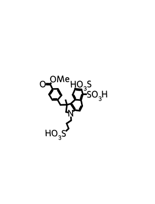 COC(=O)c1ccc(CC2(C)CN(CCCS(=O)(=O)O)c3ccc4c(S(=O)(=O)O)cc(S(=O)(=O)O)cc4c32)cc1